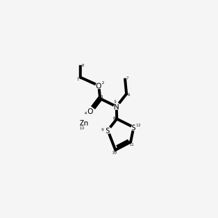 CCOC(=O)N(CC)C1SC=CS1.[Zn]